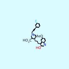 COc1ccc2ncc(O)c(CCC[C@@H]3CCN(CC#Cc4cccc(F)c4)C[C@@H]3C(=O)O)c2c1